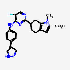 Cn1c(C(=O)O)cc2c1CC(c1ncc(F)c(Nc3ccc(-c4cn[nH]c4)cc3)n1)CC2